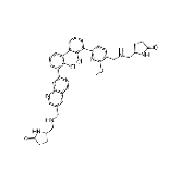 COc1nc(-c2cccc(-c3cccc(-c4cc5ncc(CNCC6CCC(=O)N6)cc5cn4)c3Cl)c2Cl)ccc1CNCC1CCC(=O)N1